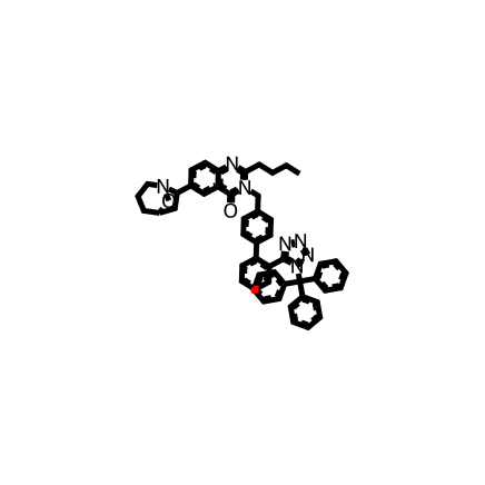 CCCCc1nc2ccc(C3CC4CCCN3O4)cc2c(=O)n1Cc1ccc(-c2ccccc2-c2nnnn2C(c2ccccc2)(c2ccccc2)c2ccccc2)cc1